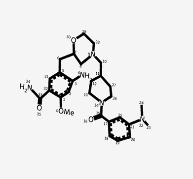 COc1cc(N)c(CC2CN(CC3CCN(C(=O)c4cccc(N(C)C)c4)CC3)CCO2)cc1C(N)=O